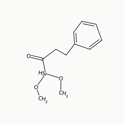 CO[SiH](OC)C(=O)CCc1ccccc1